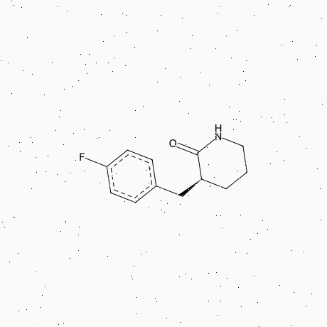 O=C1NCCC[C@H]1Cc1ccc(F)cc1